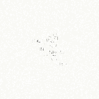 COc1cc(C=O)ccc1NC(=O)[C@@H]1N[C@@H](CC(C)(C)C)[C@](C#N)(c2ccc(Cl)cc2F)[C@H]1c1cccc(Cl)c1F